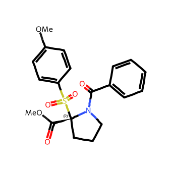 COC(=O)[C@]1(S(=O)(=O)c2ccc(OC)cc2)CCCN1C(=O)c1ccccc1